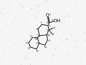 CC1(C)C(C(=O)O)CCC2C3CCCCC3CCC21